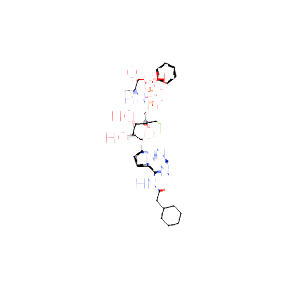 C[C@H](NP(=O)(OC[C@@]1(CF)O[C@@H](c2ccc3c(NC(=O)CC4CCCCC4)ncnn23)[C@H](O)[C@@H]1O)Oc1ccccc1)C(=O)O